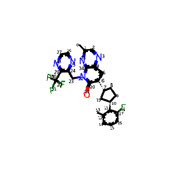 Cc1cnc2cc([C@@H]3CC[C@@H](c4c(C)cccc4F)C3)c(=O)n(Cc3nccnc3C(F)(F)F)c2n1